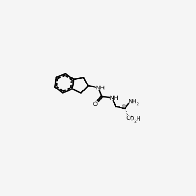 N[C@@H](CNC(=O)NC1Cc2ccccc2C1)C(=O)O